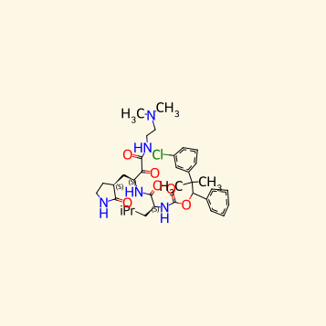 CC(C)C[C@H](NC(=O)OC(c1ccccc1)C(C)(C)c1cccc(Cl)c1)C(=O)N[C@@H](C[C@@H]1CCNC1=O)C(=O)C(=O)NCCN(C)C